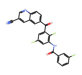 N#Cc1cnc2ccc(C(=O)c3cc(F)cc(NC(=O)c4cccc(F)c4)c3F)cc2c1